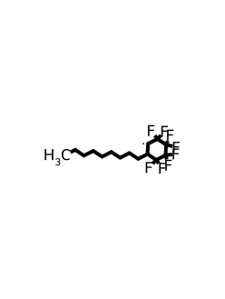 CCCCCCCCCC1[CH]C(F)(F)C(F)(F)C(F)(F)C1(F)F